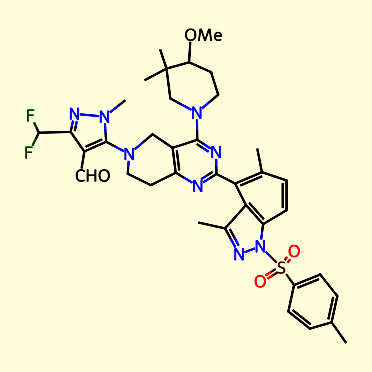 COC1CCN(c2nc(-c3c(C)ccc4c3c(C)nn4S(=O)(=O)c3ccc(C)cc3)nc3c2CN(c2c(C=O)c(C(F)F)nn2C)CC3)CC1(C)C